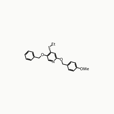 CCSc1cc(OCc2ccc(OC)cc2)ncc1OCc1ccccc1